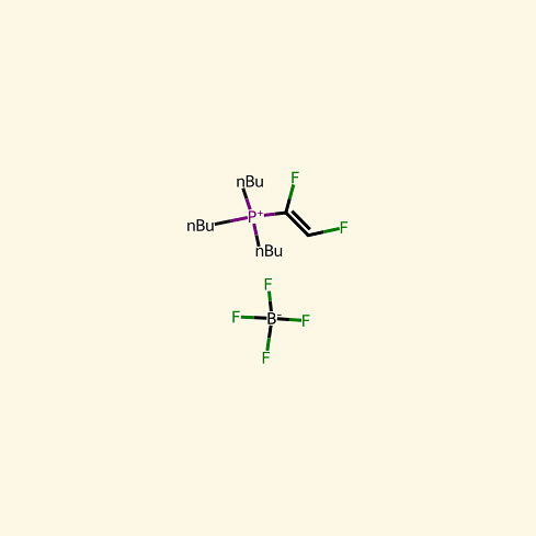 CCCC[P+](CCCC)(CCCC)C(F)=CF.F[B-](F)(F)F